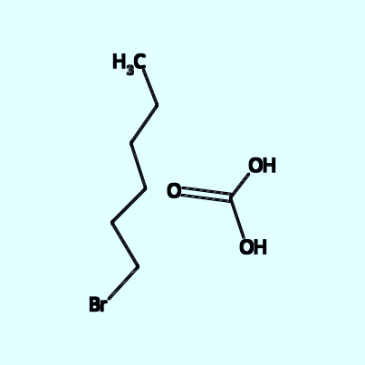 CCCCCCBr.O=C(O)O